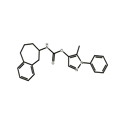 Cc1c(OC(=O)NC2CCCc3ccccc3C2)cnn1-c1ccccc1